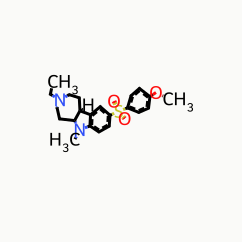 CCN1CCC2[C@@H](CC1)c1cc(S(=O)(=O)c3ccc(OC)cc3)ccc1N2C